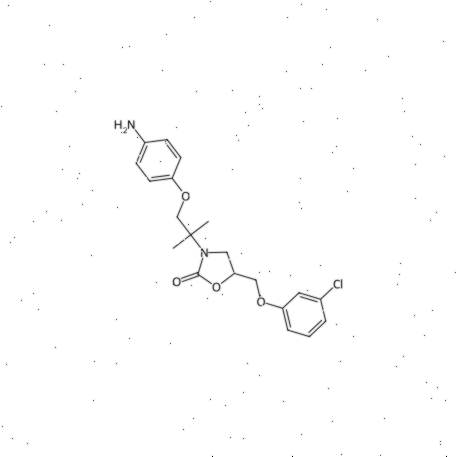 CC(C)(COc1ccc(N)cc1)N1CC(COc2cccc(Cl)c2)OC1=O